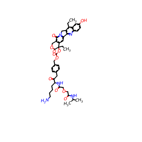 CCc1c2c(nc3ccc(O)cc13)-c1cc3c(c(=O)n1C2)COC(=O)C3(CC)OC(=O)OCc1ccc(CC(=O)C(CCCCN)NC(=O)COCC(=O)NC(C)C)cc1